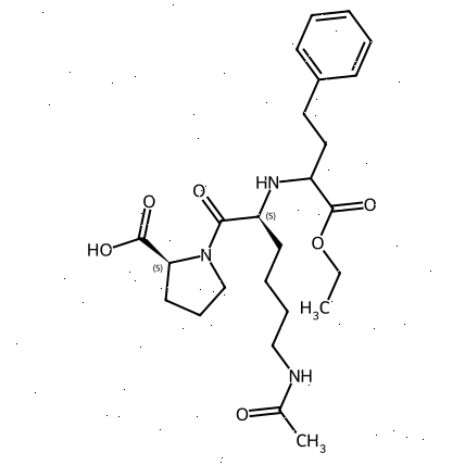 CCOC(=O)C(CCc1ccccc1)N[C@@H](CCCCNC(C)=O)C(=O)N1CCC[C@H]1C(=O)O